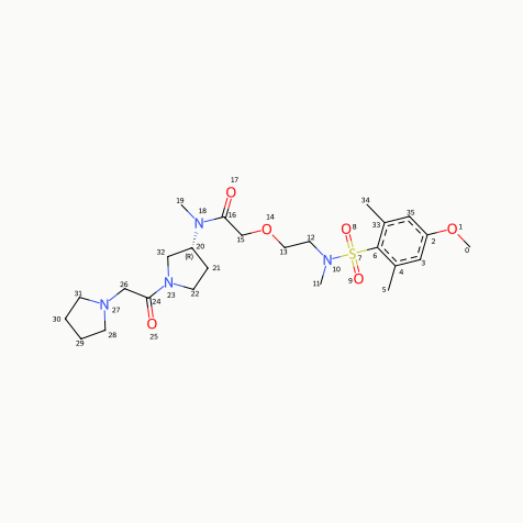 COc1cc(C)c(S(=O)(=O)N(C)CCOCC(=O)N(C)[C@@H]2CCN(C(=O)CN3CCCC3)C2)c(C)c1